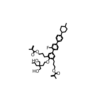 C=C(C)C(=O)OCCCc1cc(-c2ccc(-c3ccc(C4CCC(C)CC4)cc3)cc2F)cc(CCCOC(=O)C(=C)C)c1OCCC(CO)(CO)CCC